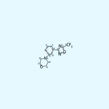 FC(F)(F)c1nc(-c2cc[c]c(N3CCOCC3)c2)no1